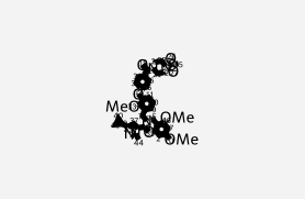 COc1ccc(CN(Cc2cccc(Oc3ccc(C(=O)N4CCN(S(C)(=O)=O)CC4)cc3)c2OC)C(=O)c2cc(C3CC3)nn2C)c(OC)c1